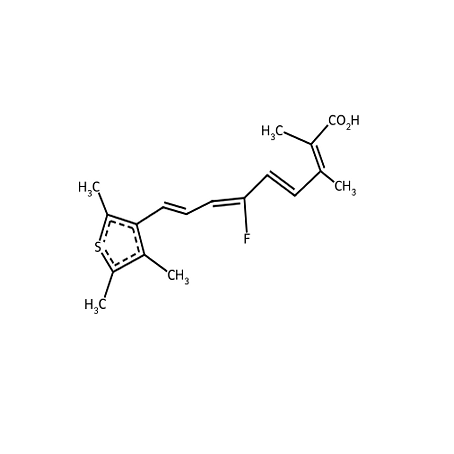 CC(C=CC(F)=CC=Cc1c(C)sc(C)c1C)=C(C)C(=O)O